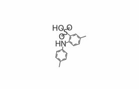 Cc1ccc(Nc2ccc(C)cc2S(=O)(=O)O)cc1